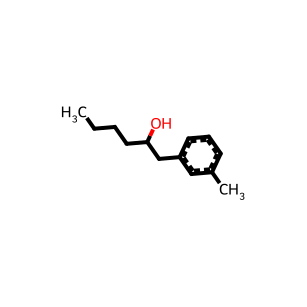 CCCCC(O)Cc1cccc(C)c1